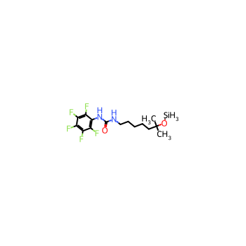 CC(C)(CCCCCNC(=O)Nc1c(F)c(F)c(F)c(F)c1F)O[SiH3]